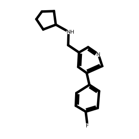 Fc1ccc(-c2cncc(CNC3CCCC3)c2)cc1